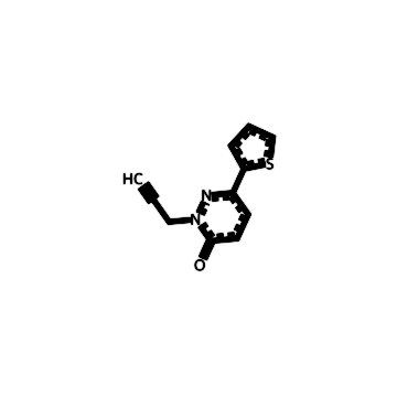 C#CCn1nc(-c2cccs2)ccc1=O